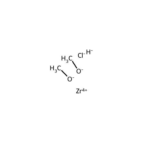 C[O-].C[O-].[Cl-].[H-].[Zr+4]